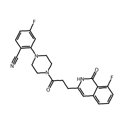 N#Cc1ccc(F)cc1N1CCN(C(=O)CCc2cc3cccc(F)c3c(=O)[nH]2)CC1